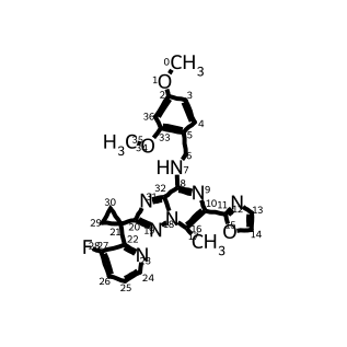 COc1ccc(CNc2nc(-c3ncco3)c(C)n3nc(C4(c5ncccc5F)CC4)nc23)c(OC)c1